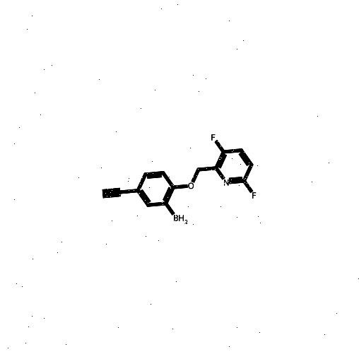 Bc1cc(C#C)ccc1OCc1nc(F)ccc1F